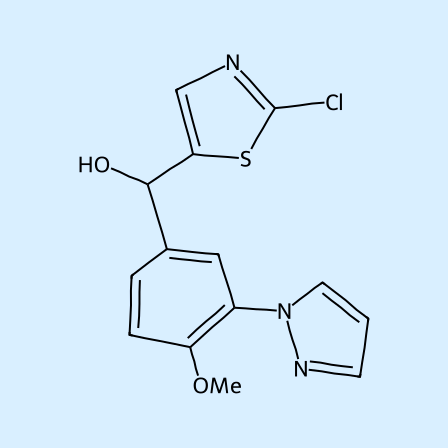 COc1ccc(C(O)c2cnc(Cl)s2)cc1-n1cccn1